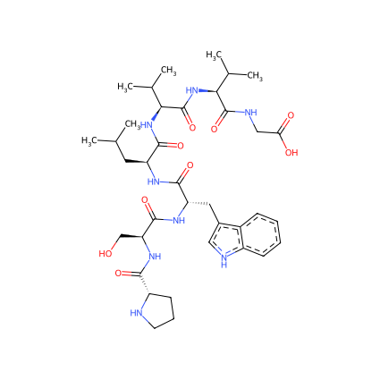 CC(C)C[C@H](NC(=O)[C@H](Cc1c[nH]c2ccccc12)NC(=O)[C@H](CO)NC(=O)[C@@H]1CCCN1)C(=O)N[C@H](C(=O)N[C@H](C(=O)NCC(=O)O)C(C)C)C(C)C